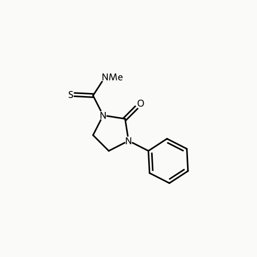 CNC(=S)N1CCN(c2ccccc2)C1=O